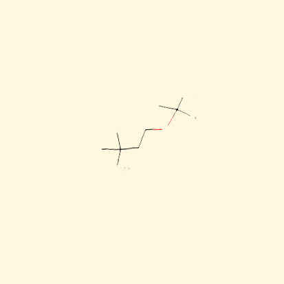 [CH2]CCC(C)(C)OCCC(C)(C)OC